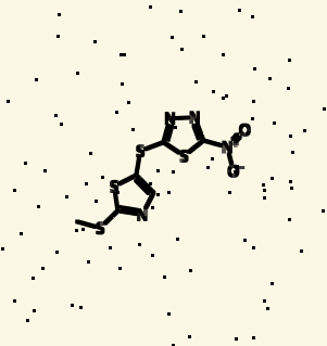 CSc1ncc(Sc2nnc([N+](=O)[O-])s2)s1